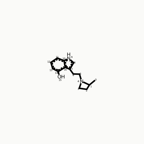 CC1CCN1CCc1c[nH]c2cccc(O)c12